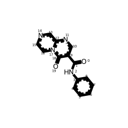 O=C(Nc1c[c]ccc1)c1cnc2cnccn2c1=O